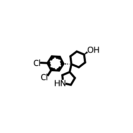 O[C@H]1CC[C@@](c2ccc(Cl)c(Cl)c2)(C2CCNC2)CC1